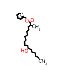 CCCCCC[C@@H](O)C/C=C\CCCCCCC(C)C(=O)OCc1ccccc1